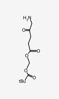 CC(C)(C)C(=O)OCOC(=O)CCC(=O)CN